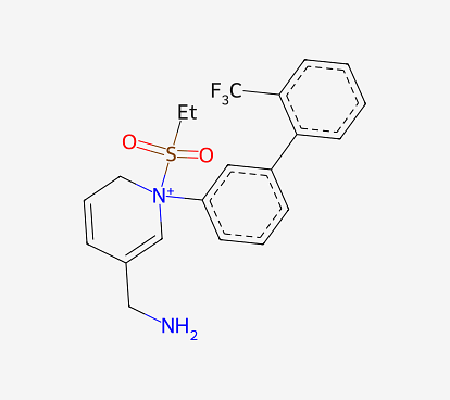 CCS(=O)(=O)[N+]1(c2cccc(-c3ccccc3C(F)(F)F)c2)C=C(CN)C=CC1